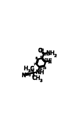 CC(C)(C#N)Nc1ccc(C(N)=O)c(F)c1